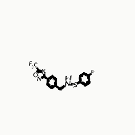 Fc1ccc(SNCc2ccc(-c3noc(C(F)(F)F)n3)cc2)cc1